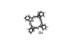 [Os].c1ccc2c(c1)-c1nc-2nc2[nH]c(nc3nc(nc4[nH]c(n1)c1ccccc41)-c1ccccc1-3)c1ccccc21